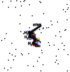 CCCCCC/C=C\CCCCCCCCCCCC(=O)NC(C)(C)CCOC(C)(C)CCNC(=O)CCC(C)(S)OCCC(C)NC(=O)OC(C)(C)C